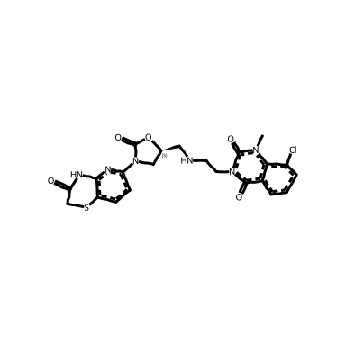 Cn1c(=O)n(CCNC[C@H]2CN(c3ccc4c(n3)NC(=O)CS4)C(=O)O2)c(=O)c2cccc(Cl)c21